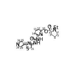 CCN1CCCCC1C(=O)OCc1cccc(NC(=O)Nc2csc(-c3ccncc3)n2)n1